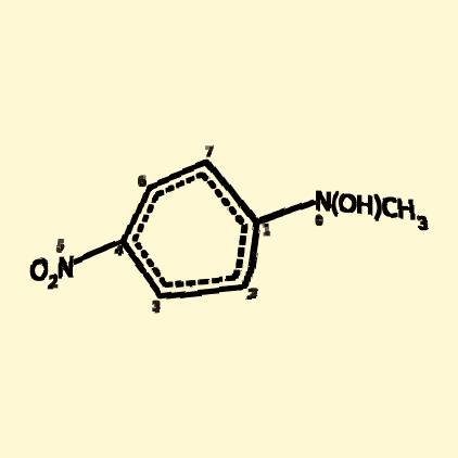 CN(O)c1ccc([N+](=O)[O-])cc1